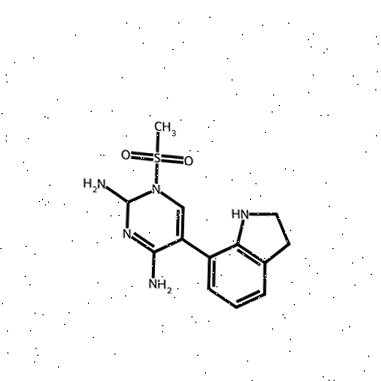 CS(=O)(=O)N1C=C(c2cccc3c2NCC3)C(N)=NC1N